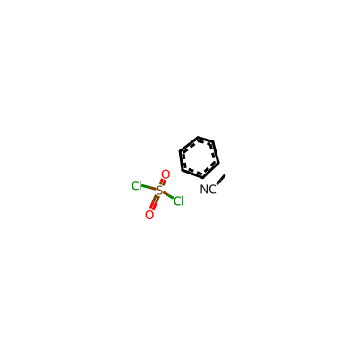 CC#N.O=S(=O)(Cl)Cl.c1ccccc1